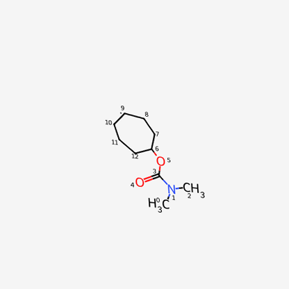 CN(C)C(=O)OC1CC[CH]CCC1